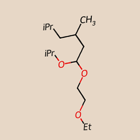 CCOCCOC(CC(C)CC(C)C)OC(C)C